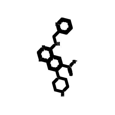 O=[N+]([O-])c1cc2c(NCc3ccccn3)ncnc2cc1N1CCNCC1